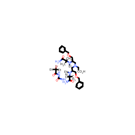 CCC(Br)(CC)C(=O)NC(N)=O.CCN(C(COCc1ccccc1)CN(CC(=O)O)CC(COCc1ccccc1)N(CC)C(C)(C)C(N)=O)C(C)(C)C(N)=O